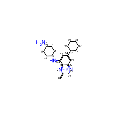 C=C/N=C1/C(N[C@H]2CC[C@@H](N)CC2)=CC(C2CCCCC2)=C/C1=N/C